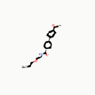 COCCOCCNC(=O)[C@H]1CC[C@@H](c2ccc(C(=O)C(C)C)cc2)CC1